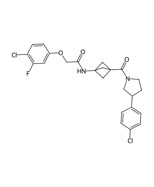 O=C(COc1ccc(Cl)c(F)c1)NC12CC(C(=O)N3CCC(c4ccc(Cl)cc4)C3)(C1)C2